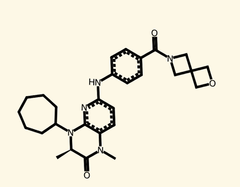 C[C@@H]1C(=O)N(C)c2ccc(Nc3ccc(C(=O)N4CC5(COC5)C4)cc3)nc2N1C1CCCCCC1